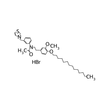 Br.CCCCCCCCCCCCCCOc1ccc(CCN(C(C)=O)c2cccc(CN3C=CSC3)c2)cc1OC